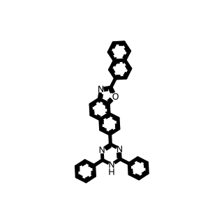 c1ccc(C2=NC(c3ccc4c(ccc5nc(-c6ccc7ccccc7c6)oc54)c3)=NC(c3ccccc3)N2)cc1